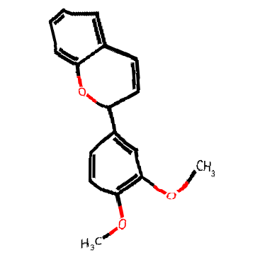 COc1ccc(C2C=Cc3ccccc3O2)cc1OC